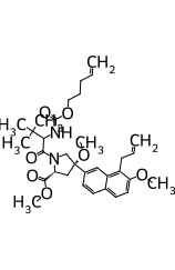 C=CCCCOC(=O)NC(C(=O)N1C[C@](OC)(c2ccc3ccc(OC)c(CC=C)c3c2)C[C@H]1C(=O)OC)C(C)(C)C